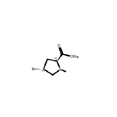 COC(=O)[C@@H]1C[C@@H](Br)CN1C